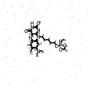 CO[PH]1(OCCCCCn2c3nc(=O)[nH]c(=O)c-3nc3cc(C)c(N(C)C)cc32)OCO1